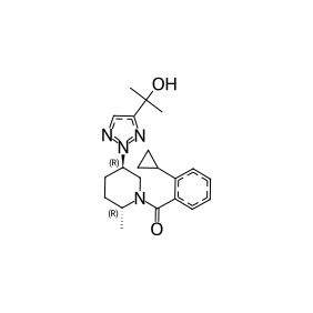 C[C@@H]1CC[C@@H](n2ncc(C(C)(C)O)n2)CN1C(=O)c1ccccc1C1CC1